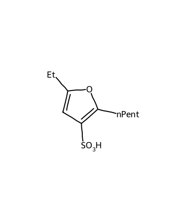 CCCCCc1oc(CC)cc1S(=O)(=O)O